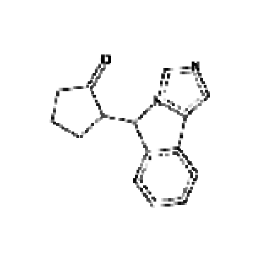 O=C1CCCC1C1c2ccccc2-c2cncn21